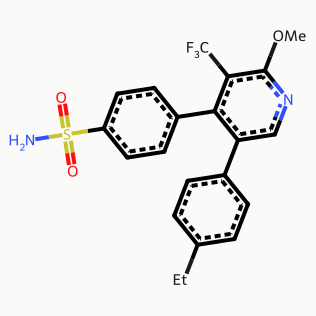 CCc1ccc(-c2cnc(OC)c(C(F)(F)F)c2-c2ccc(S(N)(=O)=O)cc2)cc1